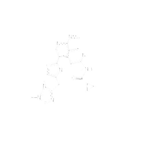 CNc1ncc(-c2nc(Cc3ncn(C)n3)co2)c2cc(NC(=O)C3CC3)ncc12